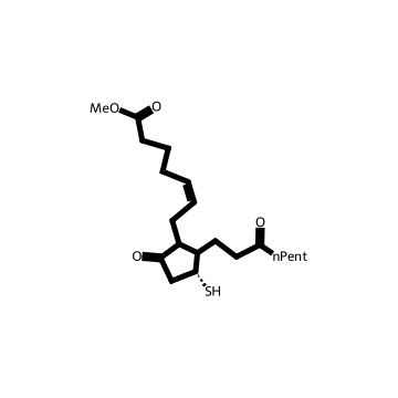 CCCCCC(=O)CCC1C(C/C=C\CCCC(=O)OC)C(=O)C[C@H]1S